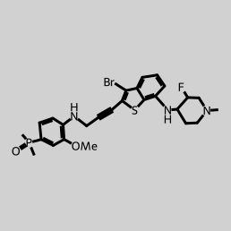 COc1cc(P(C)(C)=O)ccc1NCC#Cc1sc2c(NC3CCN(C)CC3F)cccc2c1Br